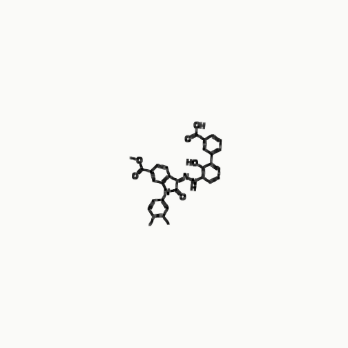 COC(=O)c1ccc2c(c1)N(c1ccc(C)c(C)c1)C(=O)C2=NNc1cccc(-c2cccc(C(=O)O)c2)c1O